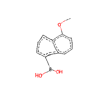 COc1cccc2c(B(O)O)cccc12